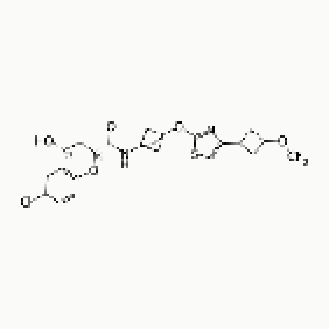 O=C(NC12CC(Oc3nc(C4CC(OC(F)(F)F)C4)cs3)(C1)C2)[C@H]1C[C@@H](O)c2cc(Cl)ccc2O1